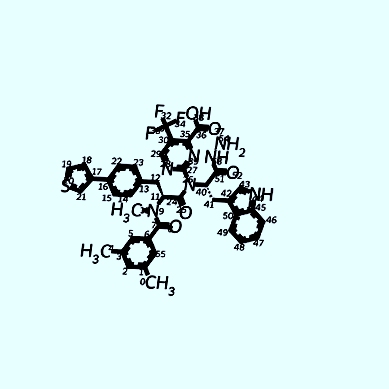 Cc1cc(C)cc(C(=O)N(C)[C@@H](Cc2ccc(-c3ccsc3)cc2)C(=O)N(c2ncc(C(F)(F)F)c(C(=O)O)n2)[C@@H](Cc2c[nH]c3ccccc23)C(=O)NN)c1